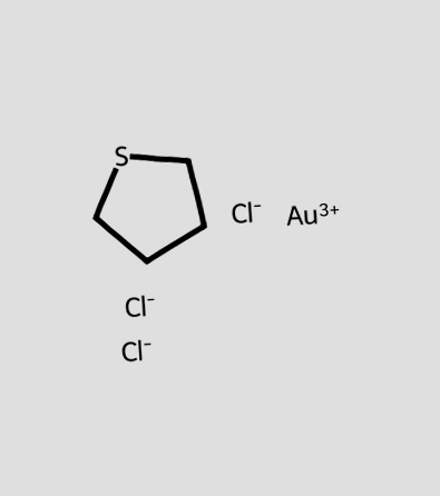 C1CCSC1.[Au+3].[Cl-].[Cl-].[Cl-]